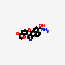 NC(O)c1ccc([C@H](Oc2ccc3c(c2)OCCC3=O)c2ccncc2-c2ccccc2)cc1